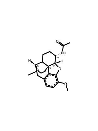 COc1ccc2c3c1O[C@H]1[C@@H](NC(C)=O)CCC4[C@@H](C2)N(C)CC[C@@]341